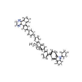 CC1(C)c2cc(-c3ccc(-c4ccc5c(c4)c4ccccc4c4nccnc54)cc3)ccc2-c2ccc(-c3cccc(-c4ccc5c(c4)c4ccccc4n5-c4ccccc4)c3)cc21